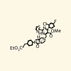 CCOC(=O)CCc1ccc(N2C[C@@H]3CN(CC4=C(C(=O)OC)[C@H](c5ccc(F)cc5Cl)N=C(c5nccs5)N4)CCN3C2=O)cc1